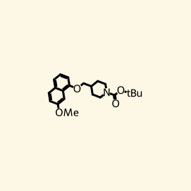 COc1ccc2cccc(OCC3CCN(C(=O)OC(C)(C)C)CC3)c2c1